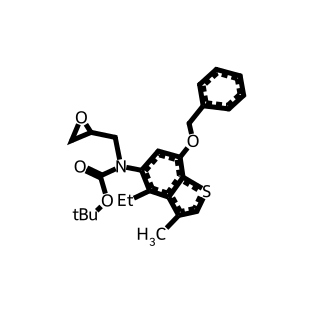 CCc1c(N(CC2CO2)C(=O)OC(C)(C)C)cc(OCc2ccccc2)c2scc(C)c12